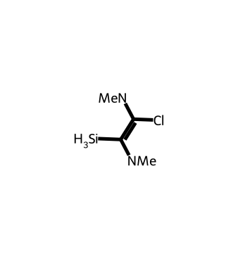 CNC([SiH3])=C(Cl)NC